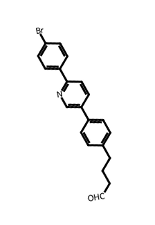 O=CCCCc1ccc(-c2ccc(-c3ccc(Br)cc3)nc2)cc1